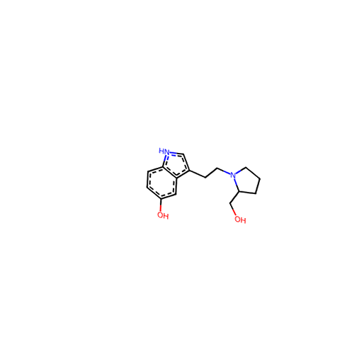 OCC1CCCN1CCc1c[nH]c2ccc(O)cc12